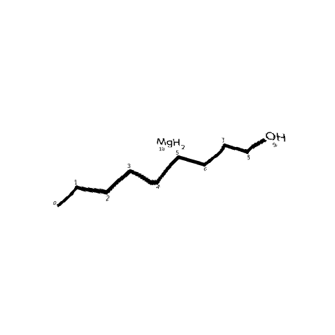 CCCCCCCCCO.[MgH2]